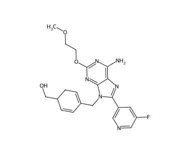 COCCOc1nc(N)c2nc(-c3cncc(F)c3)n(CC3=CCC(CO)C=C3)c2n1